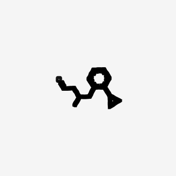 CC(CC=O)Cc1ccccc1C1CC1